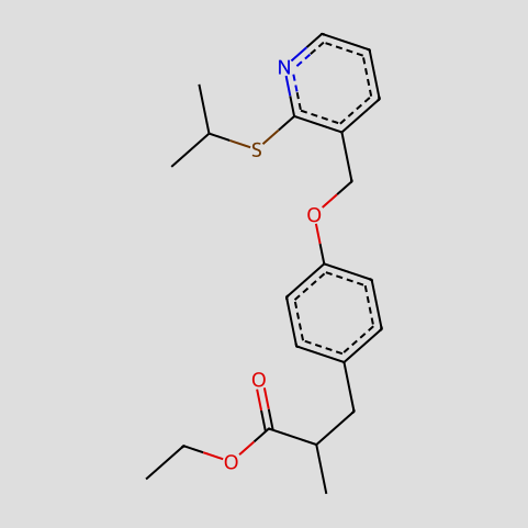 CCOC(=O)C(C)Cc1ccc(OCc2cccnc2SC(C)C)cc1